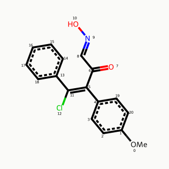 COc1ccc(C(C(=O)C=NO)=C(Cl)c2ccccc2)cc1